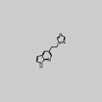 c1ncn(CCc2cnc3[nH]ccc3c2)n1